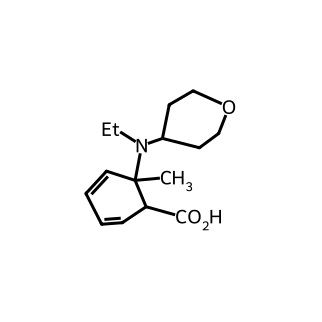 CCN(C1CCOCC1)C1(C)C=CC=CC1C(=O)O